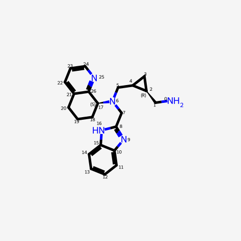 NC[C@@H]1CC1CN(Cc1nc2ccccc2[nH]1)[C@H]1CCCc2cccnc21